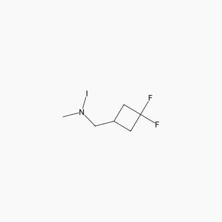 CN(I)CC1CC(F)(F)C1